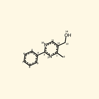 Cc1nc(-c2ccccc2)ncc1CO